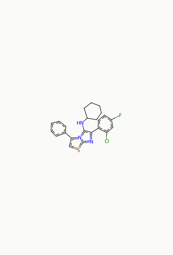 Fc1ccc(-c2nc3scc(-c4ccccc4)n3c2NC2CCCCC2)c(Cl)c1